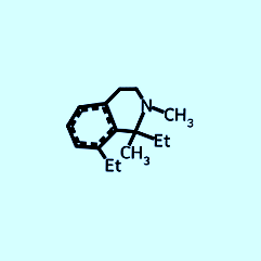 CCc1cccc2c1C(C)(CC)N(C)CC2